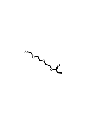 C=CC(=O)OCCOCCOCC(C)=O